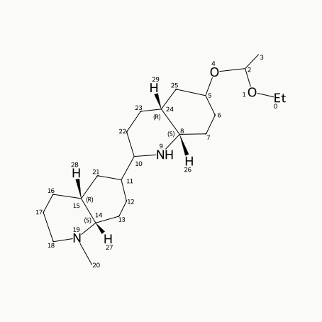 CCOC(C)OC1CC[C@@H]2NC(C3CC[C@H]4[C@H](CCCN4C)C3)CC[C@@H]2C1